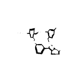 COc1ccc(Br)c(COc2cccc(-c3c4cccc(C(F)(F)F)c4nn3Cc3ccc(Cl)cc3F)c2)c1